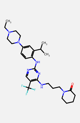 CCN1CCN(c2ccc(Nc3ncc(C(F)(F)F)c(NCCCN4CCCCC4=O)n3)c(C(C)C)c2)CC1